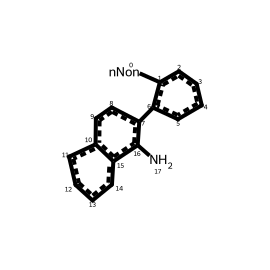 CCCCCCCCCc1ccccc1-c1ccc2ccccc2c1N